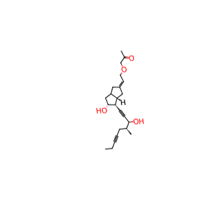 CCC#CC[C@H](C)[C@H](O)C#C[C@H]1[C@H](O)CC2C/C(=C\COCC(C)=O)C[C@@H]21